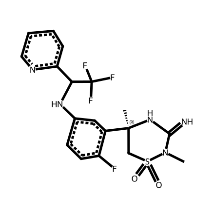 CN1C(=N)N[C@](C)(c2cc(NC(c3ccccn3)C(F)(F)F)ccc2F)CS1(=O)=O